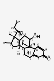 CC1C[C@H]2[C@@H]3CCC4=CC(=O)C=C[C@]4(C)[C@@]3(F)C(O)C[C@]2(C)[C@@]1(C)C(=O)CI